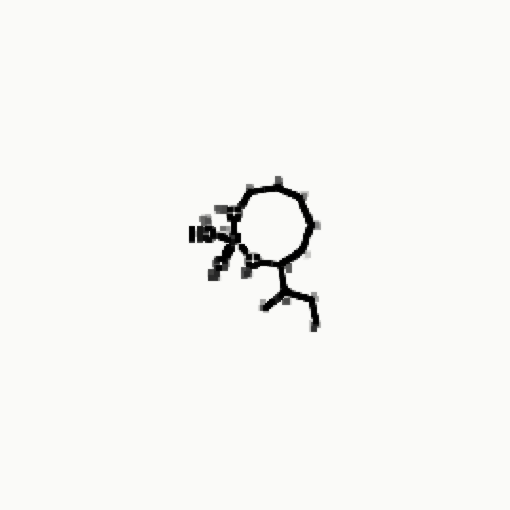 CCC(C)C1CCCCCOP(=O)(O)O1